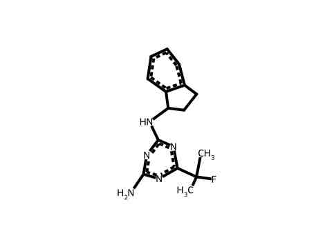 CC(C)(F)c1nc(N)nc(NC2CCc3ccccc32)n1